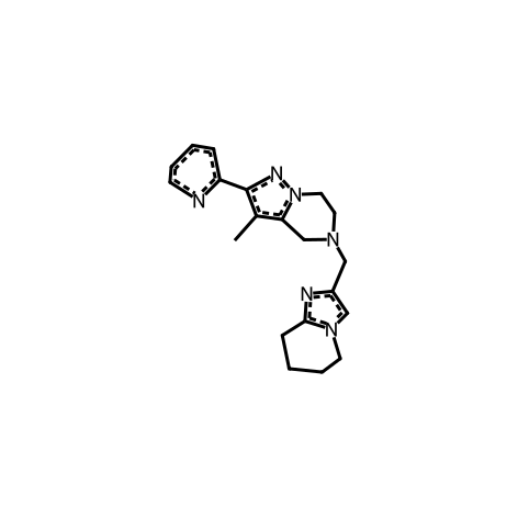 Cc1c(-c2ccccn2)nn2c1CN(Cc1cn3c(n1)CCCC3)CC2